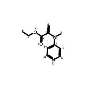 C=C(C(=O)OCC)N(C)c1ccncc1